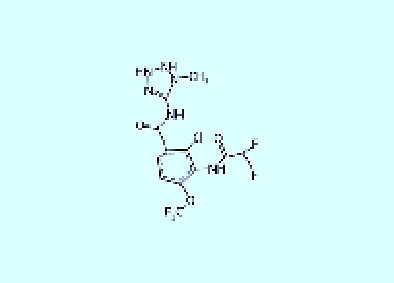 CN1NNN=C1NC(=O)c1ccc(OC(F)(F)F)c(NC(=O)C(F)F)c1Cl